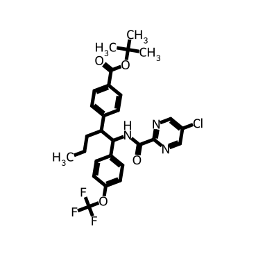 CCCC(c1ccc(C(=O)OC(C)(C)C)cc1)C(NC(=O)c1ncc(Cl)cn1)c1ccc(OC(F)(F)F)cc1